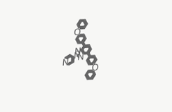 c1ccc(Oc2ccc(-c3ccc(-c4ccc(Oc5ccccc5)cc4)c4nn(-c5ccncc5)nc34)cc2)cc1